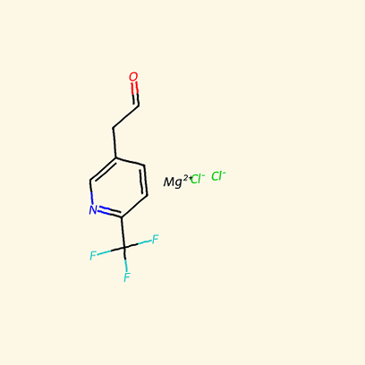 O=CCc1ccc(C(F)(F)F)nc1.[Cl-].[Cl-].[Mg+2]